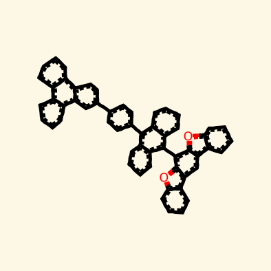 c1ccc2c(c1)oc1c(-c3c4ccccc4c(-c4ccc(-c5ccc6c7ccccc7c7ccccc7c6c5)cc4)c4ccccc34)c3oc4ccccc4c3cc12